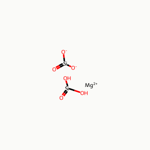 O=[Si](O)O.O=[Si]([O-])[O-].[Mg+2]